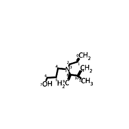 C=CCN(CCCO)C(=C)C(=C)C